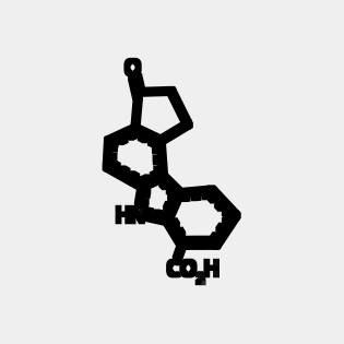 O=C1CCc2c1ccc1[nH]c3c(C(=O)O)cccc3c21